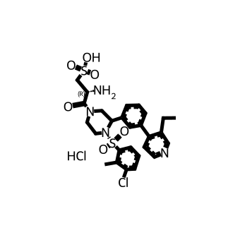 CCc1cnccc1-c1cccc(C2CN(C(=O)[C@@H](N)CS(=O)(=O)O)CCN2S(=O)(=O)c2cccc(Cl)c2C)c1.Cl